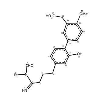 CCN(C=O)C(=N)CCCc1ccc(-c2ccc(OC)c(CC(=O)O)c2)c(O)c1